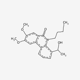 CCCCn1c(=O)c2cc(OC)c(OC)cc2c2cccc(C(C)O)c21